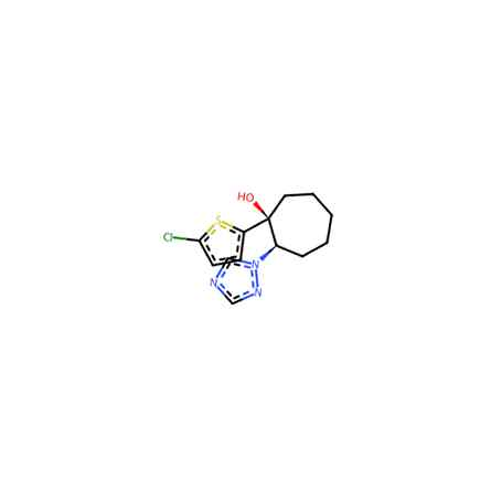 O[C@@]1(c2ccc(Cl)s2)CCCCC[C@H]1n1cncn1